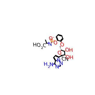 CC(N=[P+]([O-])Oc1ccccc1OC[C@H]1O[C@@](C#N)(c2ccc3c(N)ncnn23)[C@H](O)[C@@H]1O)C(=O)O